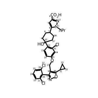 CC(C)n1nc(C(=O)O)cc1C1CCC(O)(c2ccc(OCc3c(-c4c(Cl)cccc4Cl)noc3C3CC3)cc2Cl)CC1